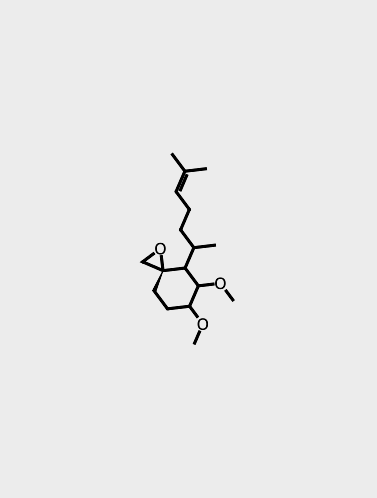 COC1CC[C@]2(CO2)C(C(C)CCC=C(C)C)C1OC